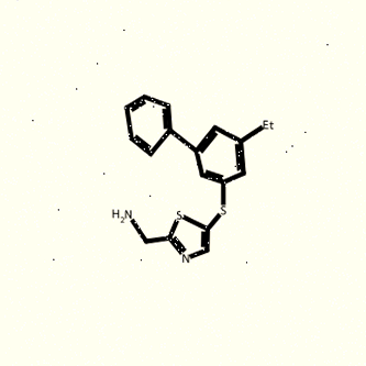 CCc1cc(Sc2cnc(CN)s2)cc(-c2ccccc2)c1